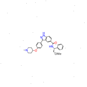 COC[C@@H](NC(=O)c1ccc2[nH]nc(-c3ccc(OC4CCN(C)CC4)cc3)c2c1)c1ccccc1